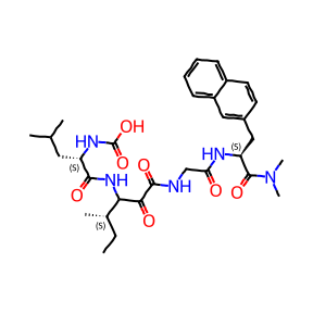 CC[C@H](C)C(NC(=O)[C@H](CC(C)C)NC(=O)O)C(=O)C(=O)NCC(=O)N[C@@H](Cc1ccc2ccccc2c1)C(=O)N(C)C